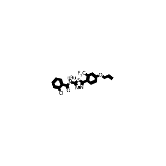 C=CCOc1ccc(-c2nnc(N(CCCC)C(=O)c3ccccc3Cl)s2)c(C(F)(F)F)c1